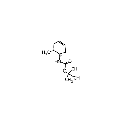 CC1CC=CC[C@H]1NC(=O)OC(C)(C)C